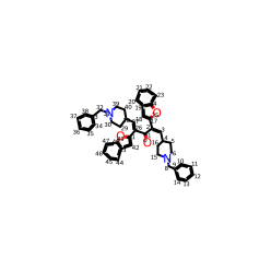 O=C(C(=CC1CCN(Cc2ccccc2)CC1)c1cc2ccccc2o1)C(=CC1CCN(Cc2ccccc2)CC1)c1cc2ccccc2o1